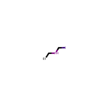 CCCPCI